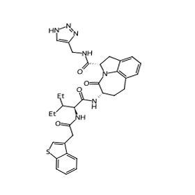 CCC(CC)[C@H](NC(=O)Cc1csc2ccccc12)C(=O)N[C@H]1CCc2cccc3c2N(C1=O)[C@H](C(=O)NCc1c[nH]nn1)C3